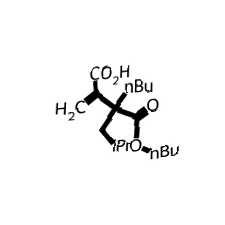 C=C(C(=O)O)C(CCCC)(CC(C)C)C(=O)OCCCC